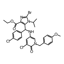 CCOC(=O)c1nc(Br)n(C(C)C)c1C(Nc1cc(Cl)c(=O)n(Cc2ccc(OC)cc2)c1)c1ccc(Cl)cc1